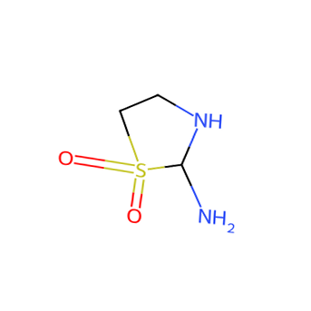 NC1NCCS1(=O)=O